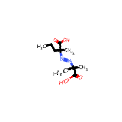 CCCC(C)(N=NC(C)(C)C(=O)O)C(=O)O